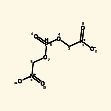 O=[N+]([O-])CO[PH](=O)OC[N+](=O)[O-]